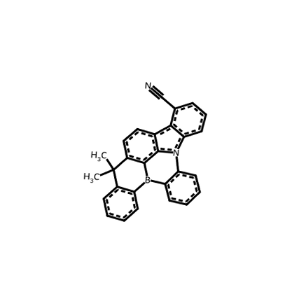 CC1(C)c2ccccc2B2c3ccccc3-n3c4cccc(C#N)c4c4ccc1c2c43